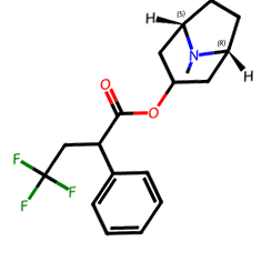 CN1[C@@H]2CC[C@H]1CC(OC(=O)C(CC(F)(F)F)c1ccccc1)C2